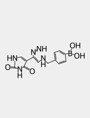 N=N/C(=C\NCc1ccc(B(O)O)cc1)c1c[nH]c(=O)[nH]c1=O